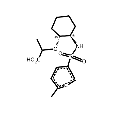 Cc1ccc(S(=O)(=O)N[C@@H]2CCCC[C@H]2OC(C)C(=O)O)cc1